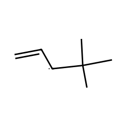 C=C[CH]C(C)(C)C